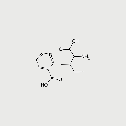 CCC(C)C(N)C(=O)O.O=C(O)c1cccnc1